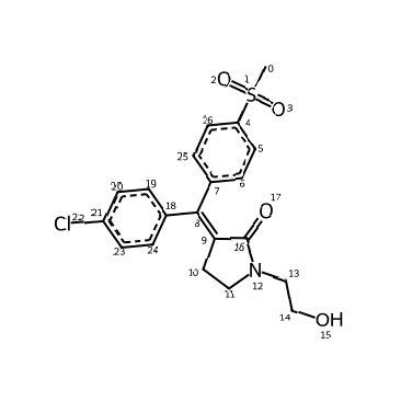 CS(=O)(=O)c1ccc(/C(=C2/CCN(CCO)C2=O)c2ccc(Cl)cc2)cc1